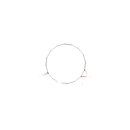 O=C1CCCCCCCCCC2O[C@H]2CCOC1